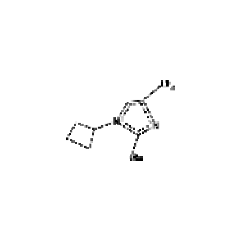 CC(C)(C)c1nc(C(F)(F)F)cn1C1CCC1